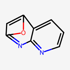 c1cnc2nc3cc(o3)c2c1